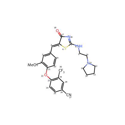 COc1cc(/C=C2\SC(NCCN3CCCC3)=NC2=O)ccc1Oc1ccc(C#N)cc1C(F)(F)F